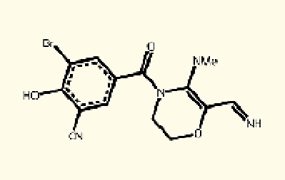 CNC1=C(C=N)OCCN1C(=O)c1cc(Br)c(O)c(C#N)c1